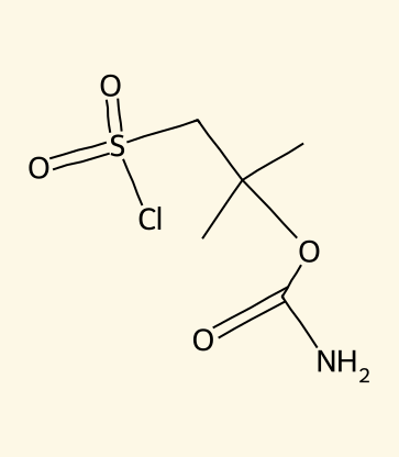 CC(C)(CS(=O)(=O)Cl)OC(N)=O